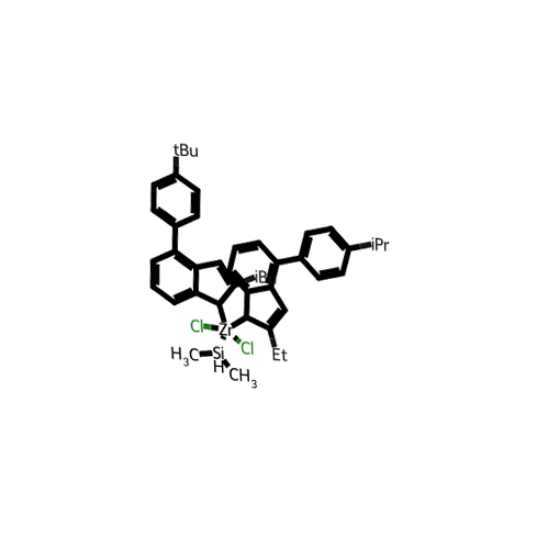 CCC1=Cc2c(-c3ccc(C(C)C)cc3)cccc2[CH]1[Zr]([Cl])([Cl])([CH]1C(C(C)CC)=Cc2c(-c3ccc(C(C)(C)C)cc3)cccc21)[SiH](C)C